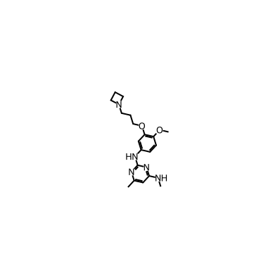 CNc1cc(C)nc(Nc2ccc(OC)c(OCCCN3CCC3)c2)n1